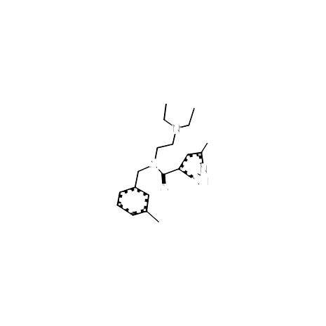 CCN(CC)CCN(Cc1cccc(C)c1)C(=O)c1cc(C)n[nH]1